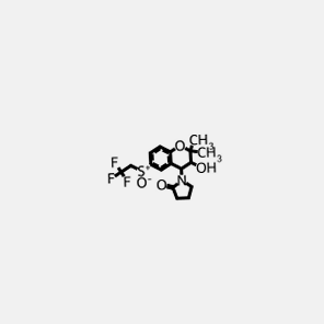 CC1(C)Oc2ccc([S+]([O-])CC(F)(F)F)cc2C(N2CCCC2=O)C1O